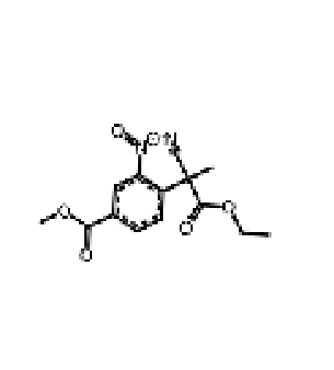 CCOC(=O)C(C)(C#N)c1ccc(C(=O)OC)cc1[N+](=O)[O-]